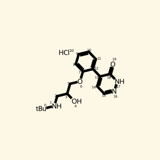 CC(C)(C)NCC(O)COc1ccccc1-c1ccn[nH]c1=O.Cl